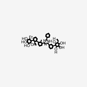 C=Cc1c(-c2cccc(C3=NC(c4cccc(-c5c(O)c(O)c(O)c(C=C)c5O)c4)NC(c4ccccc4)=N3)c2C)cccc1-c1c(O)c(O)c(O)c(O)c1CC